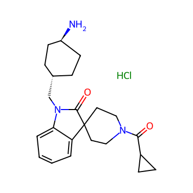 Cl.N[C@H]1CC[C@H](CN2C(=O)C3(CCN(C(=O)C4CC4)CC3)c3ccccc32)CC1